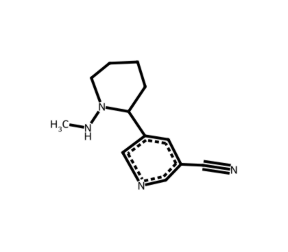 CNN1CCCCC1c1cncc(C#N)c1